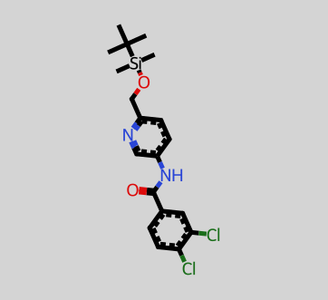 CC(C)(C)[Si](C)(C)OCc1ccc(NC(=O)c2ccc(Cl)c(Cl)c2)cn1